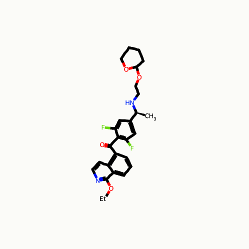 CCOc1nccc2c(C(=O)c3c(F)cc([C@H](C)NCCOC4CCCCO4)cc3F)cccc12